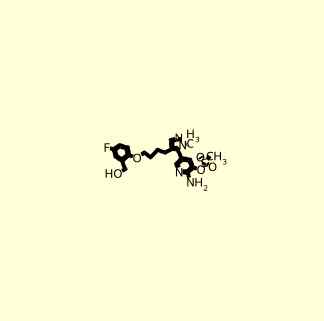 Cn1ncc(CCCCOc2ccc(F)cc2CO)c1-c1cnc(N)c(OS(C)(=O)=O)c1